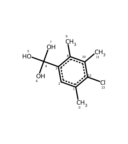 Cc1cc(C(O)(O)O)c(C)c(C)c1Cl